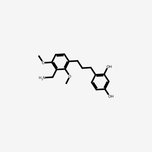 COc1ccc(CCCc2ccc(O)cc2O)c(OC)c1CN